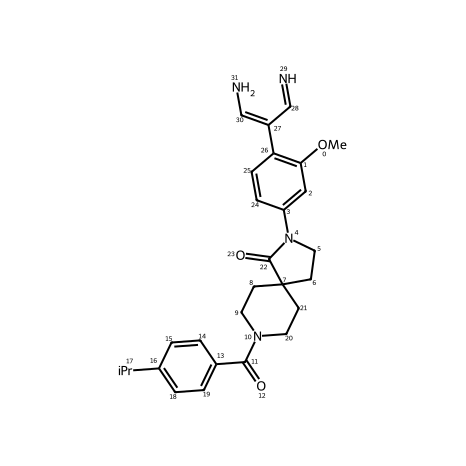 COc1cc(N2CCC3(CCN(C(=O)c4ccc(C(C)C)cc4)CC3)C2=O)ccc1/C(C=N)=C/N